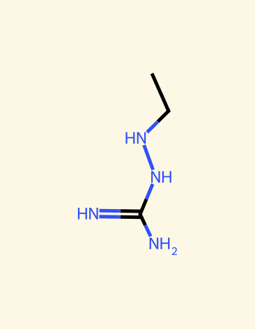 CCNNC(=N)N